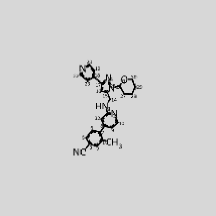 Cc1cc(C#N)ccc1-c1ccnc(NCc2cc(-c3ccncc3)nn2C2CCCCO2)c1